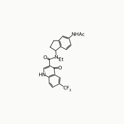 CCN(C(=O)c1c[nH]c2ccc(C(F)(F)F)cc2c1=O)C1CCc2cc(NC(C)=O)ccc21